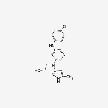 Cc1cc(N(CCO)c2cncc(Nc3ccc(Cl)cc3)n2)n[nH]1